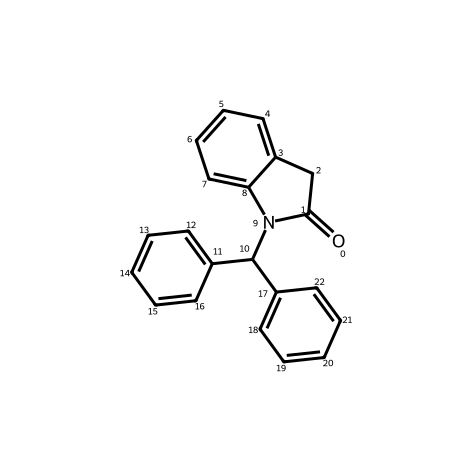 O=C1Cc2ccccc2N1C(c1ccccc1)c1ccccc1